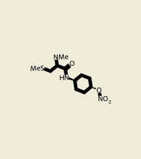 CNC(CSC)C(=O)N[C@H]1CC[C@H](O[N+](=O)[O-])CC1